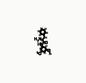 COc1cc(NC(=O)[C@H](N)Cc2ccccc2)cc(OC)c1